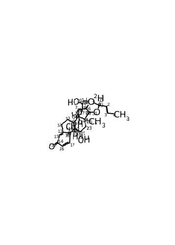 [2H][C@@]1(CCC)O[C@@H]2C[C@H]3[C@@H]4CCC5=CC(=O)C=C[C@]5(C)[C@H]4[C@@H](O)C[C@]3(C)[C@]2(C(=O)CO)O1